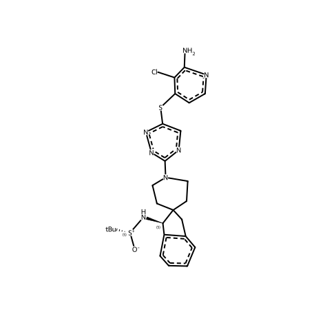 CC(C)(C)[S@@+]([O-])N[C@@H]1c2ccccc2CC12CCN(c1ncc(Sc3ccnc(N)c3Cl)nn1)CC2